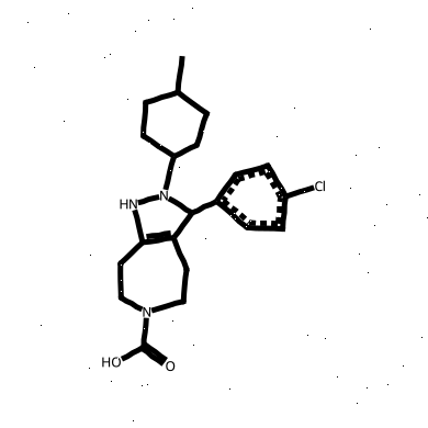 CC1CCC(N2NC3=C(CCN(C(=O)O)CC3)C2c2ccc(Cl)cc2)CC1